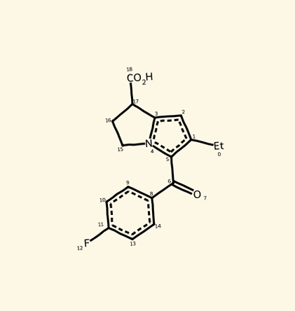 CCc1cc2n(c1C(=O)c1ccc(F)cc1)CCC2C(=O)O